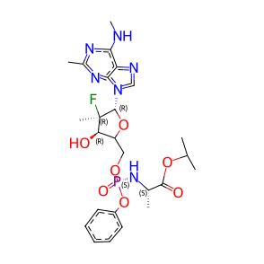 CNc1nc(C)nc2c1ncn2[C@@H]1OC(CO[P@@](=O)(N[C@@H](C)C(=O)OC(C)C)Oc2ccccc2)[C@@H](O)[C@@]1(C)F